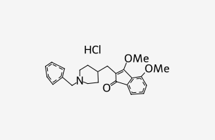 COC1=C(CC2CCN(Cc3ccccc3)CC2)C(=O)c2cccc(OC)c21.Cl